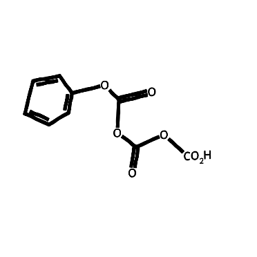 O=C(O)OC(=O)OC(=O)Oc1ccccc1